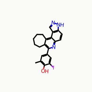 Cc1cc(-c2nc3ccc4[nH]ncc4c3c3c2CCCCC3)cc(I)c1O